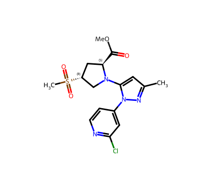 COC(=O)[C@@H]1C[C@@H](S(C)(=O)=O)CN1c1cc(C)nn1-c1ccnc(Cl)c1